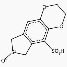 O=S(=O)(O)c1c2c(cc3c1OCCO3)C[S+]([O-])C2